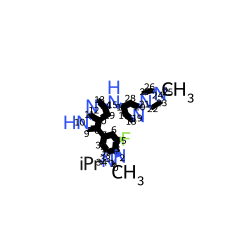 Cc1nc2c(F)cc(-c3c[nH]c4ncc(Nc5ccnc(N6CCN(C)CC6)c5)cc34)cc2n1C(C)C